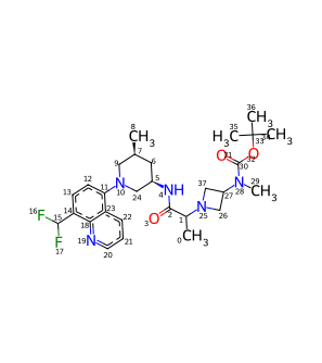 CC(C(=O)N[C@@H]1C[C@H](C)CN(c2ccc(C(F)F)c3ncccc23)C1)N1CC(N(C)C(=O)OC(C)(C)C)C1